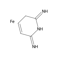 N=C1C=CCC(=N)N1.[Fe]